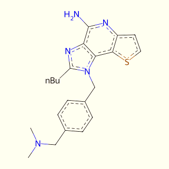 CCCCc1nc2c(N)nc3ccsc3c2n1Cc1ccc(CN(C)C)cc1